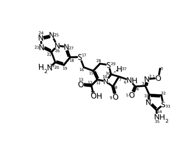 CON=C(C(=O)NC1C(=O)N2C(C(=O)O)=C(CSc3cc(N)c4nnnn4n3)CS[C@@H]12)c1csc(N)n1